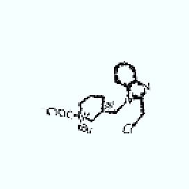 CC(C)(C)[N+]1(C(=O)[O-])CCC[C@@H](Cn2c(CCl)nc3ccccc32)C1